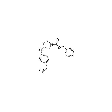 NCc1ccc(OC2CCN(C(=O)OCc3ccccc3)C2)cc1